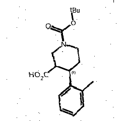 Cc1ccccc1[C@@H]1CCN(C(=O)OC(C)(C)C)CC1C(=O)O